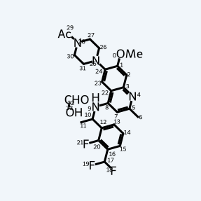 COc1cc2nc(C)cc(NC(C)c3cccc(C(F)F)c3F)c2cc1N1CCN(C(C)=O)CC1.O=CO